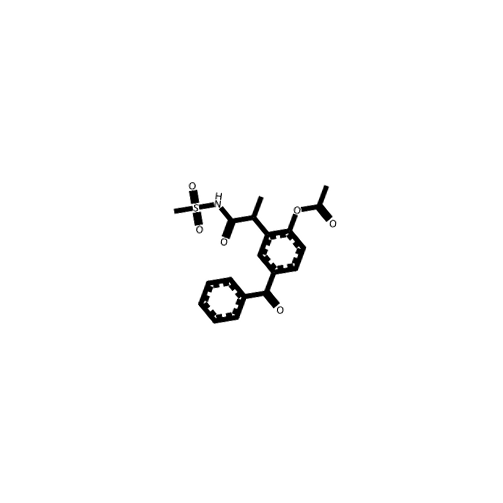 CC(=O)Oc1ccc(C(=O)c2ccccc2)cc1C(C)C(=O)NS(C)(=O)=O